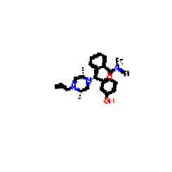 C=CCN1C[C@H](C)N([C@@H](c2cccc(O)c2)c2ccccc2C(=O)N(CC)CC)C[C@@H]1C